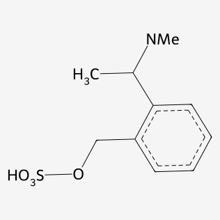 CNC(C)c1ccccc1COS(=O)(=O)O